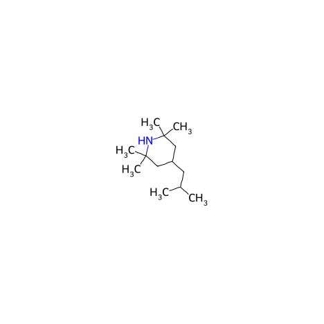 CC(C)CC1CC(C)(C)NC(C)(C)C1